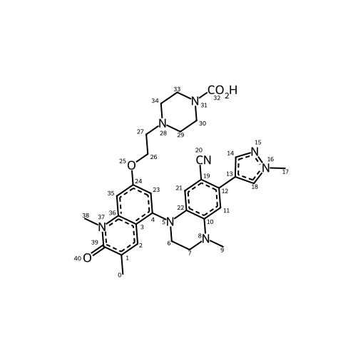 Cc1cc2c(N3CCN(C)c4cc(-c5cnn(C)c5)c(C#N)cc43)cc(OCCN3CCN(C(=O)O)CC3)cc2n(C)c1=O